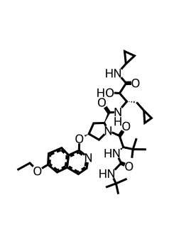 CCOc1ccc2c(O[C@@H]3C[C@@H](C(=O)N[C@@H](CC4CC4)C(O)C(=O)NC4CC4)N(C(=O)[C@@H](NC(=O)NC(C)(C)C)C(C)(C)C)C3)nccc2c1